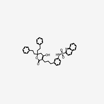 O=C1OC(CCc2ccccc2)(CCc2ccccc2)CC(O)=C1CCCc1cccc(NS(=O)(=O)c2ccc3ccccc3n2)c1